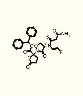 NC(=O)CC(=S)N(C=CF)[C@H]1CON(C2(C(=O)OC(c3ccccc3)c3ccccc3)CCC(=O)O2)C1=O